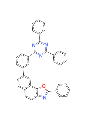 c1ccc(-c2nc(-c3ccccc3)nc(-c3cccc(-c4ccc5ccc6nc(-c7ccccc7)oc6c5c4)c3)n2)cc1